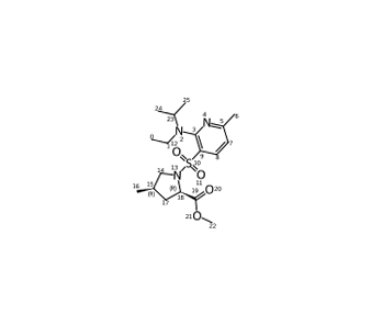 CCN(c1nc(C)ccc1S(=O)(=O)N1C[C@H](C)C[C@@H]1C(=O)OC)C(C)C